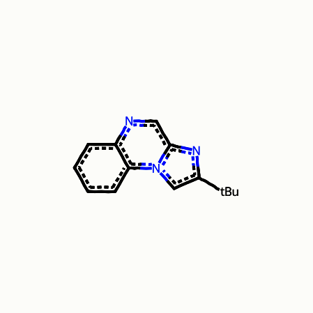 CC(C)(C)c1cn2c(cnc3ccccc32)n1